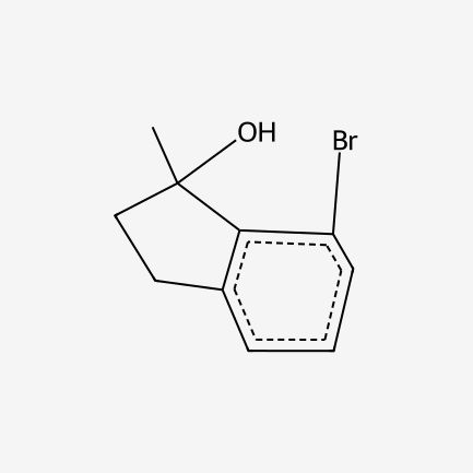 CC1(O)CCc2cccc(Br)c21